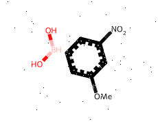 COc1cccc([N+](=O)[O-])c1.OBO